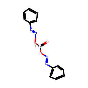 O=[AsH](ON=Nc1ccccc1)ON=Nc1ccccc1